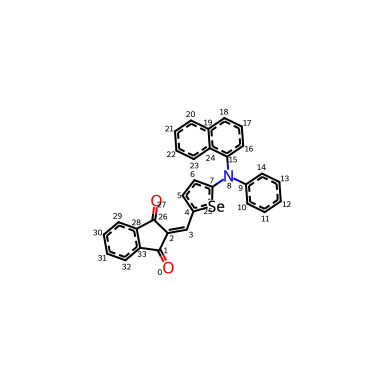 O=C1C(=Cc2ccc(N(c3ccccc3)c3cccc4ccccc34)[se]2)C(=O)c2ccccc21